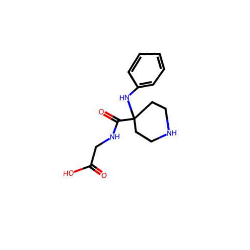 O=C(O)CNC(=O)C1(Nc2ccccc2)CCNCC1